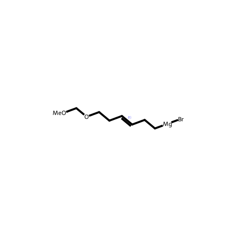 COCOCC/C=C/C[CH2][Mg][Br]